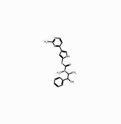 CC(C(O)c1ccccc1)N(C)C(=O)Oc1cc(-c2ccnc(N)n2)c[nH]1